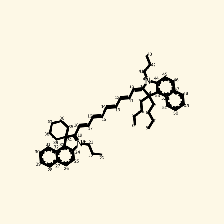 CCCCC1(CCCC)\C(=C/C=C/C=C/C=C/C=C/C2=[N+](CCC)c3ccc4ccccc4c3C23CCCCC3)N(CCC)c2ccc3ccccc3c21